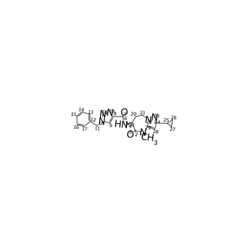 CN1C(=O)[C@@H](NC(=O)c2cn(Cc3ccccc3)nn2)CCn2nc(C3CC3)cc21